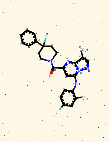 Cc1cc(F)ccc1Nc1cc(C(=O)N2CCC(F)(c3ccccc3)CC2)nc2c(C(=O)O)cnn12